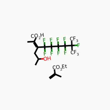 C=C(C)C(=O)OCC.CC(C(=O)O)=C(CC(C)O)C(F)(F)C(F)(F)C(F)(F)C(F)(F)C(F)(C(F)(F)F)C(F)(F)F